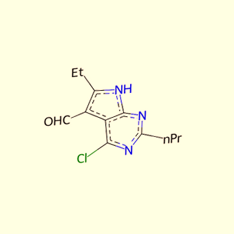 CCCc1nc(Cl)c2c(C=O)c(CC)[nH]c2n1